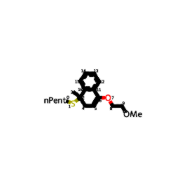 CCCCCSC1(C)CC=C(OCCOC)c2ccccc21